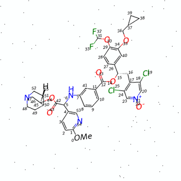 COc1ccc(C(Nc2cccc(C(=O)O[C@@H](Cc3c(Cl)c[n+]([O-])cc3Cl)c3ccc(OC(F)F)c(OCC4CC4)c3)c2)C(=O)O[C@H]2CN3CCC2CC3)cn1